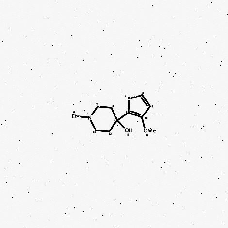 [CH2]CN1CCC(O)(c2sccc2OC)CC1